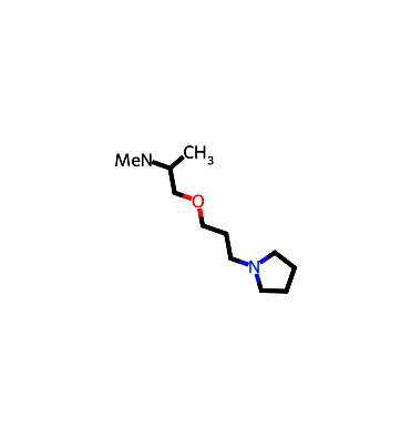 CNC(C)COCCCN1CCCC1